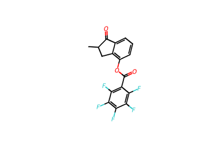 CC1Cc2c(OC(=O)c3c(F)c(F)c(F)c(F)c3F)cccc2C1=O